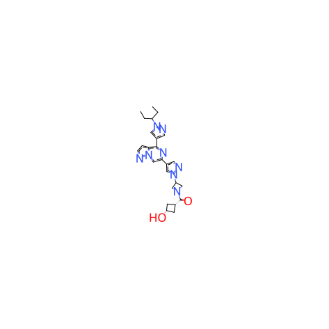 CCC(CC)n1cc(-c2nc(-c3cnn(C4CN(C(=O)[C@H]5C[C@@H](O)C5)C4)c3)cn3nccc23)cn1